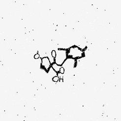 COC1CCC(C(=O)O)(C(=O)Cc2c(C)cc(C)cc2C)C1